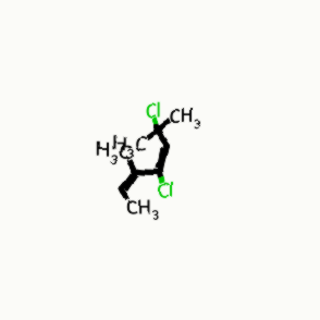 C/C=C(C)\C(Cl)=C/C(C)(C)Cl